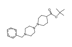 CC(C)(C)OC(=O)C1CCN(N2CCN(Cc3ccccc3)CC2)CC1